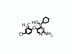 Cc1cc(Cl)ccc1Oc1cnc(N)nc1N(O)C1CCCCC1